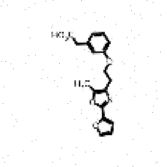 Cc1oc(-c2ccco2)nc1CCOc1cccc(CC(=O)O)c1